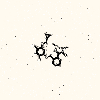 CNC(=O)C(=NOC)c1ccccc1COc1cc(OCC2CC2)c(Cl)cc1Cl